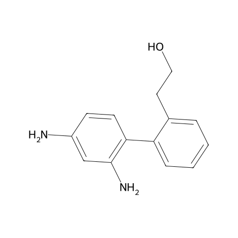 Nc1ccc(-c2ccccc2CCO)c(N)c1